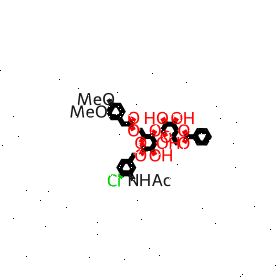 COc1ccc(CC(=O)OCC2OC(OCc3ccc(Cl)c(NC(C)=O)c3)C(O)C(O)C2OC2OC3COC(c4ccccc4)OC3C(O)C2O)cc1OC